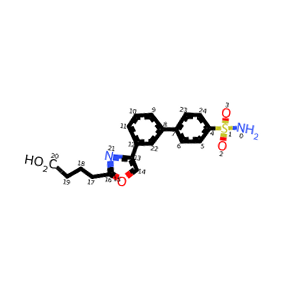 NS(=O)(=O)c1ccc(-c2cccc(-c3coc(CCCC(=O)O)n3)c2)cc1